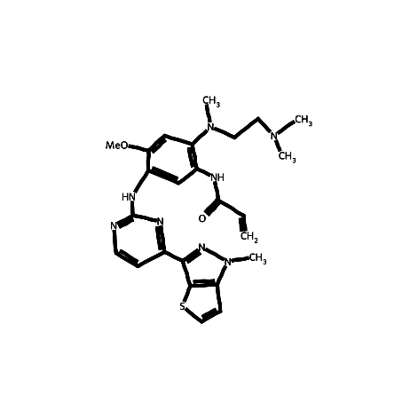 C=CC(=O)Nc1cc(Nc2nccc(-c3nn(C)c4ccsc34)n2)c(OC)cc1N(C)CCN(C)C